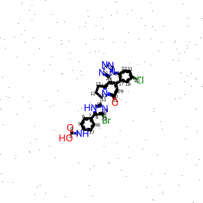 O=C(O)Nc1ccc(-c2[nH]c([C@@H]3CCc4cc(-c5cc(Cl)ccc5-n5cnnn5)cc(=O)n43)nc2Br)cc1